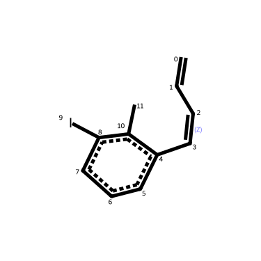 C=C/C=C\c1cccc(I)c1C